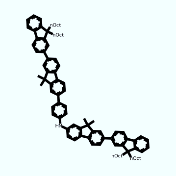 CCCCCCCCC1(CCCCCCCC)c2ccccc2-c2ccc(-c3ccc4c(c3)C(C)(C)c3cc(Nc5ccc(-c6ccc7c(c6)C(C)(C)c6cc(-c8ccc9c(c8)C(CCCCCCCC)(CCCCCCCC)c8ccccc8-9)ccc6-7)cc5)ccc3-4)cc21